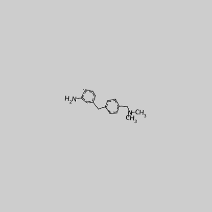 CN(C)Cc1ccc(Cc2cc[c]c(N)c2)cc1